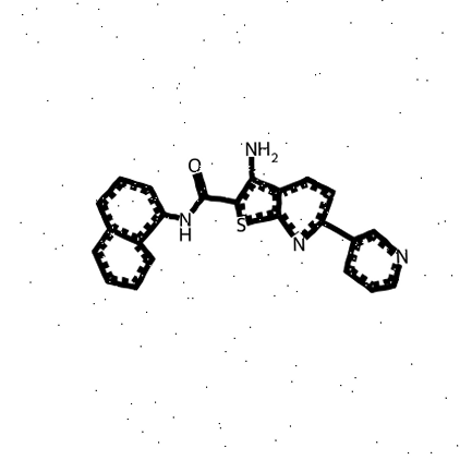 Nc1c(C(=O)Nc2cccc3ccccc23)sc2nc(-c3cccnc3)ccc12